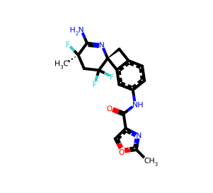 Cc1nc(C(=O)Nc2ccc3c(c2)[C@@]2(C3)N=C(N)[C@](C)(F)CC2(F)F)co1